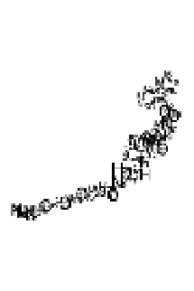 COc1ccc(-c2ccc(CNC(=O)COCCOCCOCCOCCN=[N+]=[N-])o2)c2[nH]cc(C(=O)C(=O)N3CCN(C(=O)OCC4c5ccccc5-c5ccccc54)CC3)c12